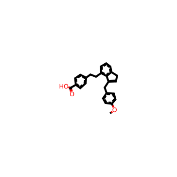 COc1ccc(CC2=CCc3cccc(CCc4ccc(C(=O)O)cc4)c32)cc1